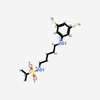 CC(C)S(=O)(=O)NCCCCCNc1cc(F)cc(F)c1